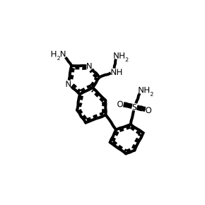 NNc1nc(N)nc2ccc(-c3ccccc3S(N)(=O)=O)cc12